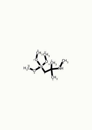 CNC(C)(C)C[Si](OC)(OC)OC